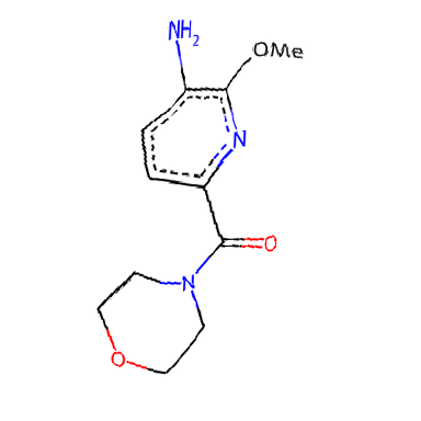 COc1nc(C(=O)N2CCOCC2)ccc1N